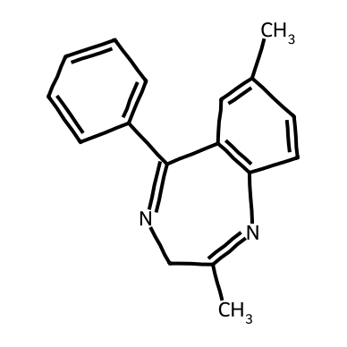 CC1=Nc2ccc(C)cc2C(c2ccccc2)=NC1